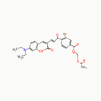 CCN(CC)c1ccc2cc(/C=C/C(=O)c3ccc(C(=O)OCOC(C)=O)cc3Br)c(=O)oc2c1